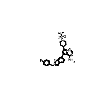 CN(C)S(=O)(=O)N1CCC(c2cc(-c3ccc4cn(Cc5ccc(F)cc5)nc4c3)c3c(N)ncnn23)CC1